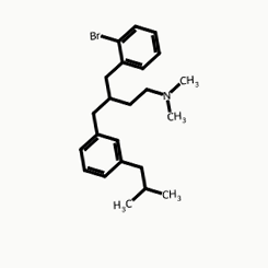 CC(C)Cc1cccc(CC(CCN(C)C)Cc2ccccc2Br)c1